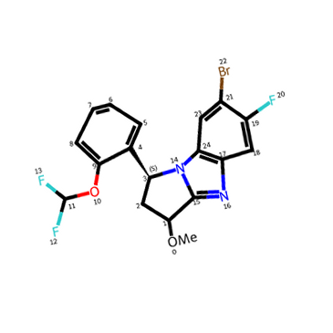 COC1C[C@@H](c2ccccc2OC(F)F)n2c1nc1cc(F)c(Br)cc12